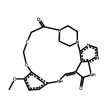 COc1ccc2cc1OCCCC(=O)N1CCN(CC1)c1ncnc3c1/C(=C/N2)C(=O)N3